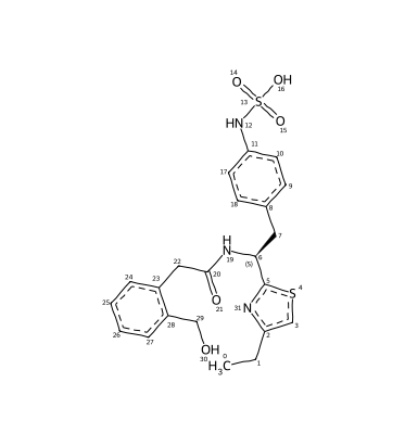 CCc1csc([C@H](Cc2ccc(NS(=O)(=O)O)cc2)NC(=O)Cc2ccccc2CO)n1